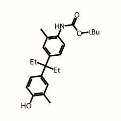 CCC(CC)(c1ccc(O)c(C)c1)c1ccc(NC(=O)OC(C)(C)C)c(C)c1